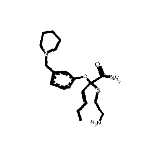 CCC=CC(Oc1cccc(CN2CCCCC2)c1)(SCCN)C(N)=O